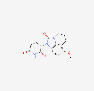 COc1ccc2c3c1CCCn3c(=O)n2C1CCC(=O)NC1=O